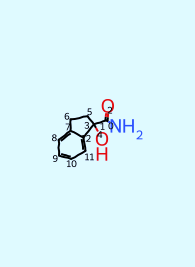 NC(=O)C1(O)CCc2ccccc21